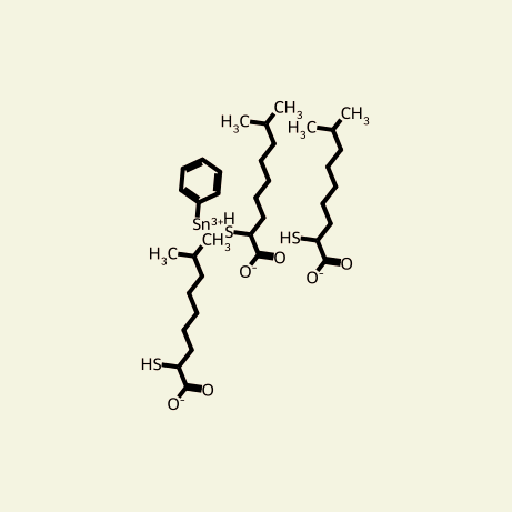 CC(C)CCCCCC(S)C(=O)[O-].CC(C)CCCCCC(S)C(=O)[O-].CC(C)CCCCCC(S)C(=O)[O-].[Sn+3][c]1ccccc1